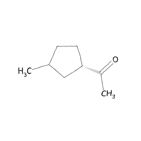 CC(=O)[C@H]1CCC(C)C1